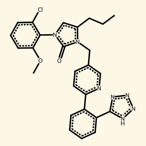 CCCc1cn(-c2c(Cl)cccc2OC)c(=O)n1Cc1ccc(-c2ccccc2-c2nnn[nH]2)nc1